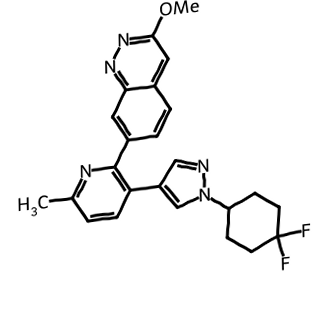 COc1cc2ccc(-c3nc(C)ccc3-c3cnn(C4CCC(F)(F)CC4)c3)cc2nn1